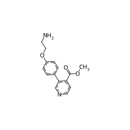 COC(=O)c1ccncc1-c1ccc(OCCN)cc1